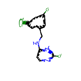 Clc1cc(Cl)cc(CNc2ccnc(Cl)n2)c1